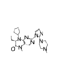 CC[C@@H]1C(=O)N(C)c2cnc(-n3ccnc3N3CCN(C)CC3)nc2N1C1CCCC1